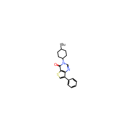 CC(C)(C)C1CCC(n2cnc3c(-c4ccccc4)csc3c2=O)CC1